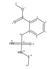 COC(=O)c1ccccc1CS(=N)(=O)NSC